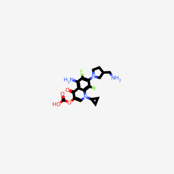 NCC1CCN(c2c(F)c(N)c3c(=O)c(OC(=O)O)cn(C4CC4)c3c2F)C1